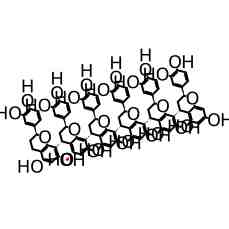 Oc1cc(O)c2c(c1)O[C@H](c1ccc(O)c(O)c1)C[C@H]2c1c(O)cc(O)c2c1O[C@H](c1ccc(O)c(O)c1)C[C@H]2c1c(O)cc(O)c2c1O[C@H](c1ccc(O)c(O)c1)C[C@H]2c1c(O)cc(O)c2c1O[C@H](c1ccc(O)c(O)c1)C[C@H]2c1c(O)cc(O)c2c1O[C@H](c1ccc(O)c(O)c1)C[C@H]2c1c(O)cc(O)c2c1O[C@H](c1ccc(O)c(O)c1)CC2